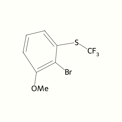 COc1cccc(SC(F)(F)F)c1Br